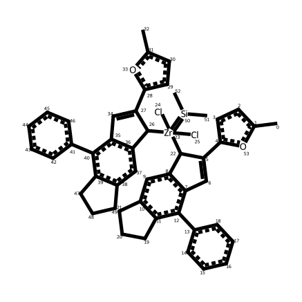 Cc1ccc(C2=Cc3c(cc4c(c3-c3ccccc3)CCC4)[CH]2[Zr]([Cl])([Cl])([CH]2C(c3ccc(C)o3)=Cc3c2cc2c(c3-c3ccccc3)CCC2)=[Si](C)C)o1